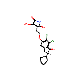 CC1(C2CCCC2)Cc2cc(OCCC3=C(O)C(=O)NC3=O)c(Cl)c(Cl)c2C1=O